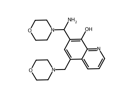 NC(c1cc(CN2CCOCC2)c2cccnc2c1O)N1CCOCC1